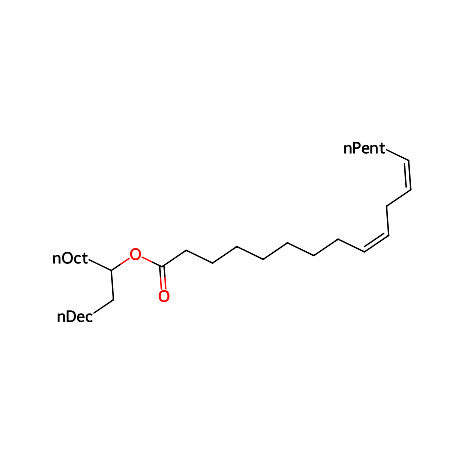 CCCCC/C=C\C/C=C\CCCCCCCC(=O)OC(CCCCCCCC)CCCCCCCCCCC